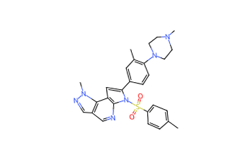 Cc1ccc(S(=O)(=O)n2c(-c3ccc(N4CCN(C)CC4)c(C)c3)cc3c4c(cnc32)cnn4C)cc1